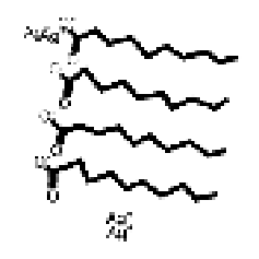 CCCCCCCCCC(=O)[O-].CCCCCCCCCC(=O)[O-].CCCCCCCCCC(=O)[O-].CCCCCCCCCC(=O)[O-].[Ag+].[Ag+].[Ag+].[Ag+]